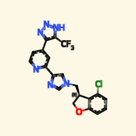 FC(F)(F)c1[nH]nnc1-c1ccnc(-c2cn(C[C@@H]3COc4cccc(Cl)c43)cn2)c1